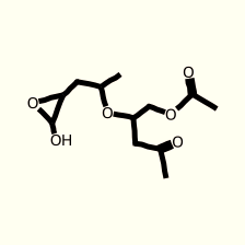 CC(=O)CC(COC(C)=O)OC(C)CC1OC1O